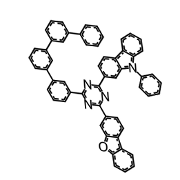 c1ccc(-c2cccc(-c3cccc(-c4cccc(-c5nc(-c6ccc7c(c6)oc6ccccc67)nc(-c6ccc7c8ccccc8n(-c8ccccc8)c7c6)n5)c4)c3)c2)cc1